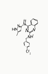 Cc1cc(Nc2nc(NCc3ccc(C(F)(F)F)cc3)nc3ccccc23)n[nH]1